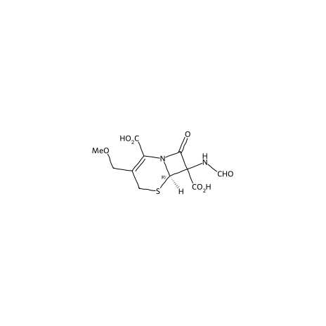 COCC1=C(C(=O)O)N2C(=O)C(NC=O)(C(=O)O)[C@H]2SC1